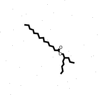 CCCCCCCCCCCCCC(=O)OCC(CCC)CCCCC